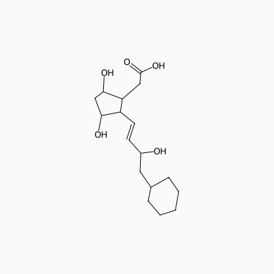 O=C(O)CC1C(O)CC(O)C1C=CC(O)CC1CCCCC1